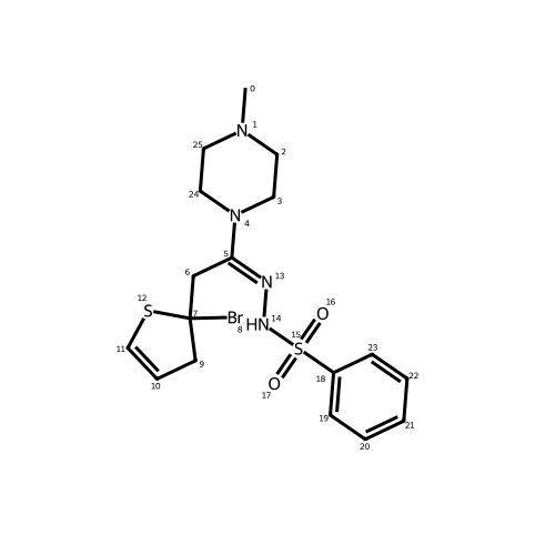 CN1CCN(C(CC2(Br)CC=CS2)=NNS(=O)(=O)c2ccccc2)CC1